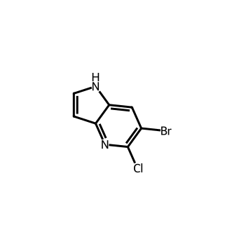 Clc1nc2cc[nH]c2cc1Br